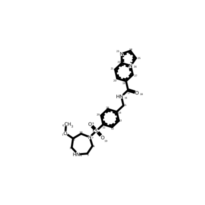 COC1CNCCN(S(=O)(=O)c2ccc(CNC(=O)c3ccc4nccn4c3)cc2)C1